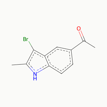 CC(=O)c1ccc2[nH]c(C)c(Br)c2c1